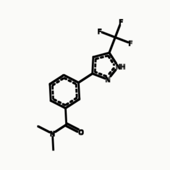 CN(C)C(=O)c1cccc(-c2cc(C(F)(F)F)[nH]n2)c1